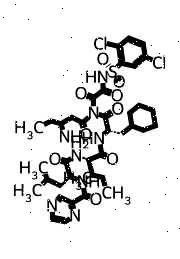 CCC(N)CC(=O)N(C(=O)C(=O)NS(=O)(=O)c1cc(Cl)ccc1Cl)C(=O)[C@H](CC1CCCCC1)NC(=O)[C@@H](NC(=O)[C@H](CC(C)C)NC(=O)c1cnccn1)[C@@H](C)CC